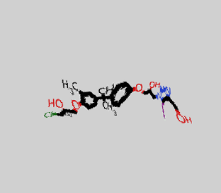 Cc1cc(C(C)(C)c2ccc(OC[C@H](O)Cn3nnc(CO)c3I)cc2)ccc1OC[C@H](O)CCl